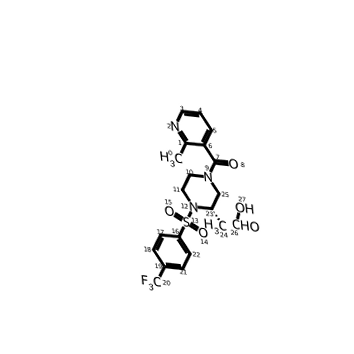 Cc1ncccc1C(=O)N1CCN(S(=O)(=O)c2ccc(C(F)(F)F)cc2)[C@@H](C)C1.O=CO